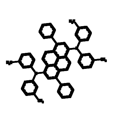 Cc1cccc(N(c2cccc(C)c2)c2cc(-c3ccccc3)c3ccc4c(N(c5cccc(C)c5)c5cccc(C)c5)cc(-c5ccccc5)c5ccc2c3c54)c1